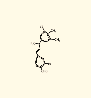 Cc1cc(C(/C=C/c2ccc(C=O)c(Br)c2)C(F)(F)F)cc(Cl)c1C